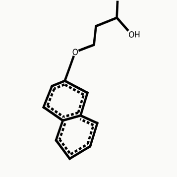 CC(O)CCOc1ccc2ccccc2c1